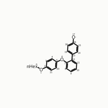 CCCCCCOc1ccc(Oc2ccccc2-c2ccc([O])cc2)cc1